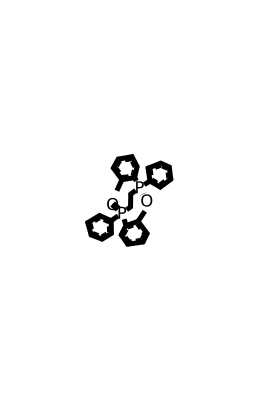 Cc1ccccc1P(=O)(CCP(=O)(c1ccccc1)c1ccccc1C)c1ccccc1